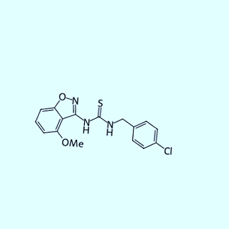 COc1cccc2onc(NC(=S)NCc3ccc(Cl)cc3)c12